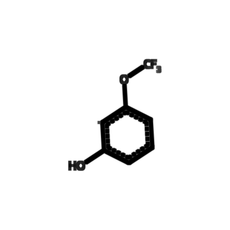 Oc1[c]c(OC(F)(F)F)ccc1